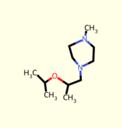 CC(C)OC(C)CN1CCN(C)CC1